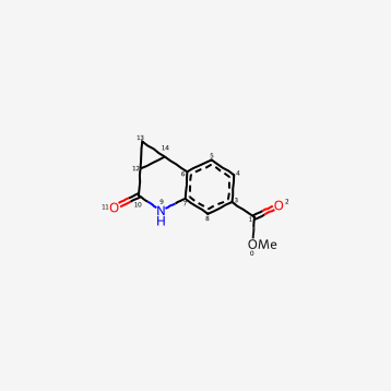 COC(=O)c1ccc2c(c1)NC(=O)C1CC21